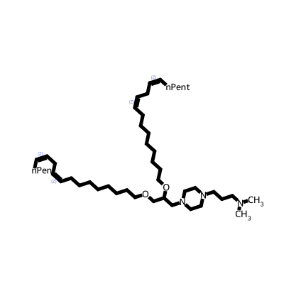 CCCCC/C=C\C/C=C\CCCCCCCCOCC(CN1CCN(CCCN(C)C)CC1)OCCCCCCCC/C=C\C/C=C\CCCCC